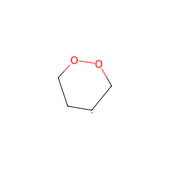 [CH]1CCOOC1